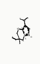 CCC1(C)COc2c(C(C)C)cnn2C1